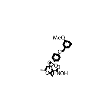 COc1cccc(COc2ccc(S(=O)(=O)N3C[C@H](C)OC(C)[C@@H]3C(=O)NO)cc2)c1